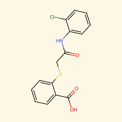 O=C(CSc1ccccc1C(=O)O)Nc1ccccc1Cl